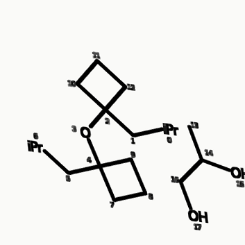 CC(C)CC1(OC2(CC(C)C)CCC2)CCC1.CC(O)CO